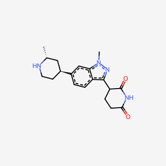 C[C@@H]1C[C@@H](c2ccc3c(C4CCC(=O)NC4=O)nn(C)c3c2)CCN1